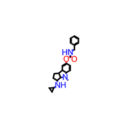 CN1C2C=CC(OC(=O)NCc3ccccc3)=CC2C2CCC(NC3CC3)C21